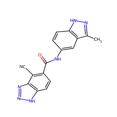 Cc1n[nH]c2ccc(NC(=O)c3ccc4[nH]nnc4c3C#N)cc12